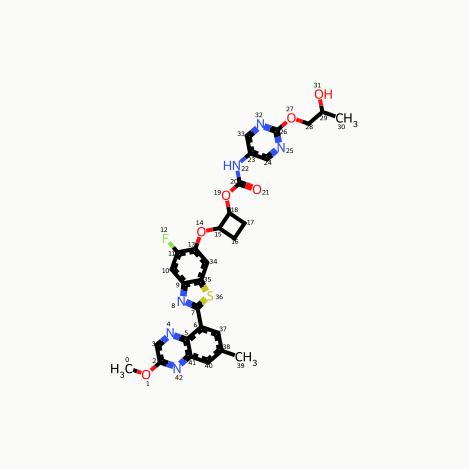 COc1cnc2c(-c3nc4cc(F)c(OC5CCC5OC(=O)Nc5cnc(OCC(C)O)nc5)cc4s3)cc(C)cc2n1